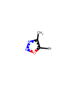 Cc1nnoc1C(C)C